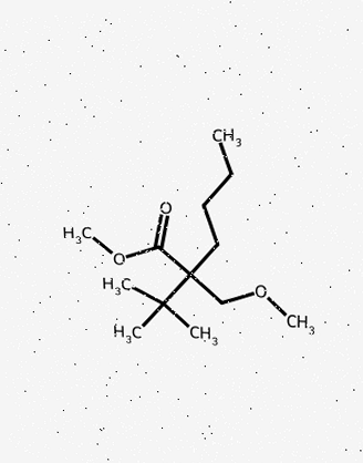 CCCCC(COC)(C(=O)OC)C(C)(C)C